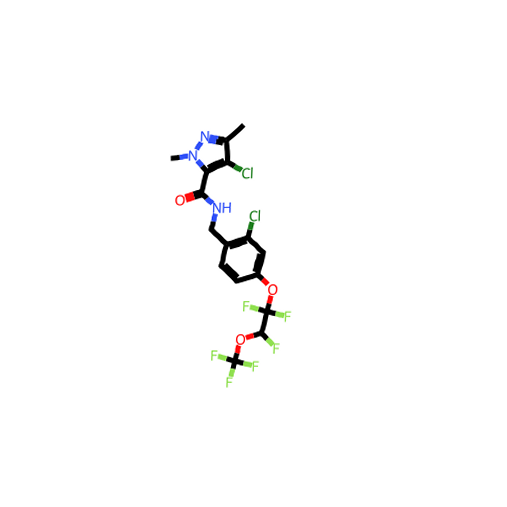 Cc1nn(C)c(C(=O)NCc2ccc(OC(F)(F)C(F)OC(F)(F)F)cc2Cl)c1Cl